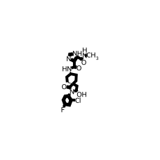 CNC(=O)c1[nH]cnc1C(=O)N[C@H]1CC[C@]2(CC1)CC(O)N(c1ccc(F)cc1Cl)C2=O